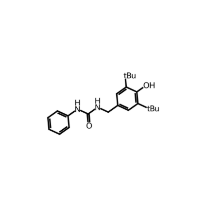 CC(C)(C)c1cc(CNC(=O)Nc2ccccc2)cc(C(C)(C)C)c1O